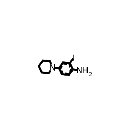 Nc1ccc(N2CCCCC2)cc1I